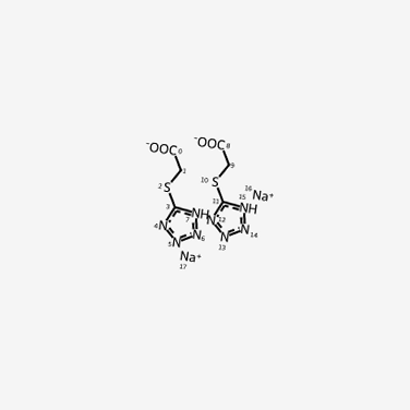 O=C([O-])CSc1nnn[nH]1.O=C([O-])CSc1nnn[nH]1.[Na+].[Na+]